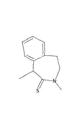 CC1C(=S)N(C)CCc2ccccc21